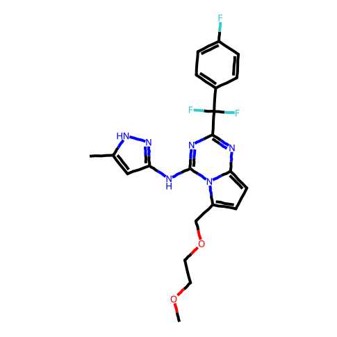 COCCOCc1ccc2nc(C(F)(F)c3ccc(F)cc3)nc(Nc3cc(C)[nH]n3)n12